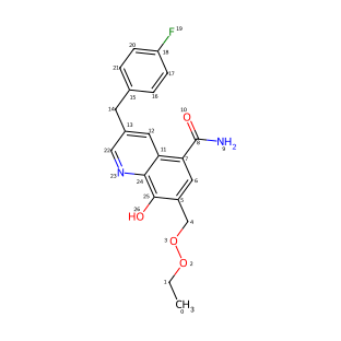 CCOOCc1cc(C(N)=O)c2cc(Cc3ccc(F)cc3)cnc2c1O